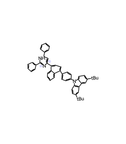 CC(C)(C)c1ccc2c(c1)c1cc(C(C)(C)C)ccc1n2-c1ccc(-c2ccc(C(=C/Cc3ccccc3)/N=C(\N)c3ccccc3)c3ccccc23)cc1